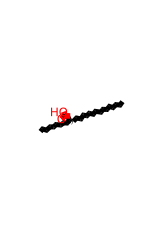 CCCCCCCCCCCCCCCC[C@H](CCCCCCCCC)CC(=O)O